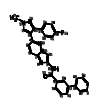 Cn1cc(-c2ccc3nc(NC(=O)c4cccc(-c5ccncc5)c4)cn3n2)c(-c2ccc(F)cc2)n1